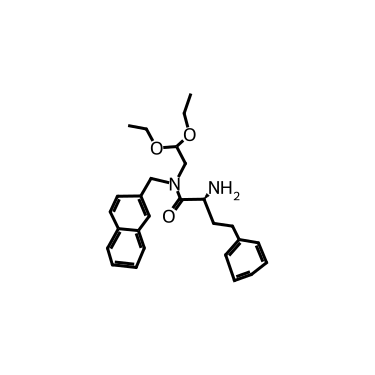 CCOC(CN(Cc1ccc2ccccc2c1)C(=O)[C@@H](N)CCc1ccccc1)OCC